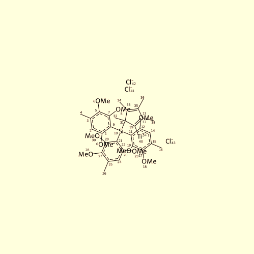 COc1cc(C)c(OC)c(OC)c1[Si](c1c(OC)cc(C)c(OC)c1OC)(c1c(OC)cc(C)c(OC)c1OC)C1(C)C(C)=C(C)C(C)=[C]1[Ti+3].[Cl-].[Cl-].[Cl-]